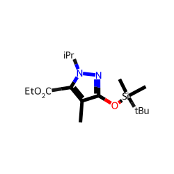 CCOC(=O)c1c(C)c(O[Si](C)(C)C(C)(C)C)nn1C(C)C